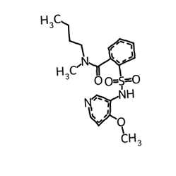 CCCCN(C)C(=O)c1ccccc1S(=O)(=O)Nc1cnccc1OC